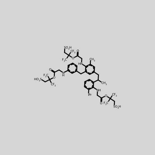 Cc1cc(CC(C)c2cccc(C(C)C)c2NCC(=O)OC(CS(=O)(=O)O)(C(F)(F)F)C(F)(F)F)cc(Cc2cccc(NCC(=O)OC(CS(=O)(=O)O)(C(F)(F)F)C(F)(F)F)c2)c1NCC(=O)OC(CS(=O)(=O)O)(C(F)(F)F)C(F)(F)F